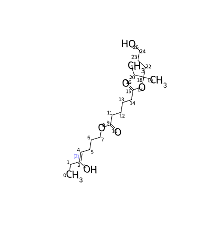 CC/C(O)=C/CCCOC(=O)CCCCC(=O)OC(C)(CC)CCCO